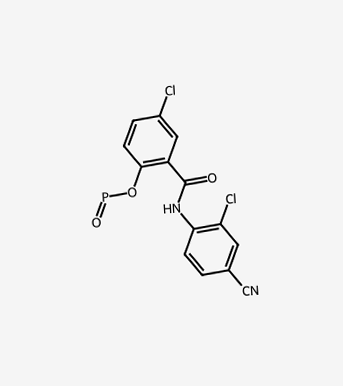 N#Cc1ccc(NC(=O)c2cc(Cl)ccc2OP=O)c(Cl)c1